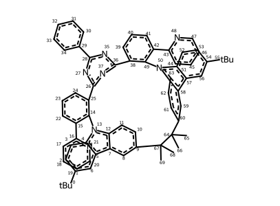 CC(C)(C)c1ccc2c(c1)c1cc3ccc1n2-c1c(-c2ccccn2)cccc1-c1nc(-c2ccccc2)nc(n1)-c1cccc(-c2ccccn2)c1-n1c2ccc(C(C)(C)C)cc2c2cc(ccc21)C(C)(C)C3(C)C